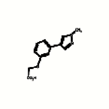 Cn1cc(-c2c[c]cc(OCC(=O)O)c2)cn1